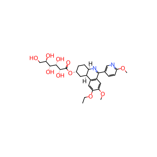 CCOc1cc2c(cc1OC)C(c1ccc(OC)nc1)=N[C@@H]1CC[C@@H](OC(=O)[C@H](O)[C@@H](O)[C@H](O)[C@H](O)CO)C[C@H]21